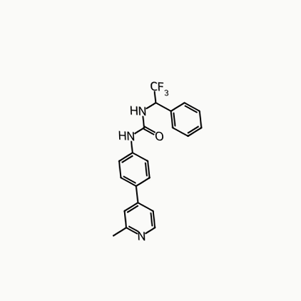 Cc1cc(-c2ccc(NC(=O)NC(c3ccccc3)C(F)(F)F)cc2)ccn1